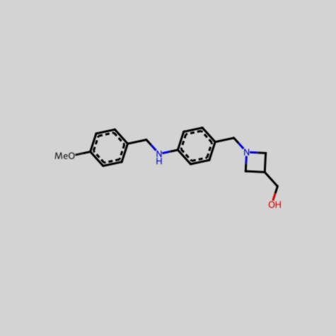 COc1ccc(CNc2ccc(CN3CC(CO)C3)cc2)cc1